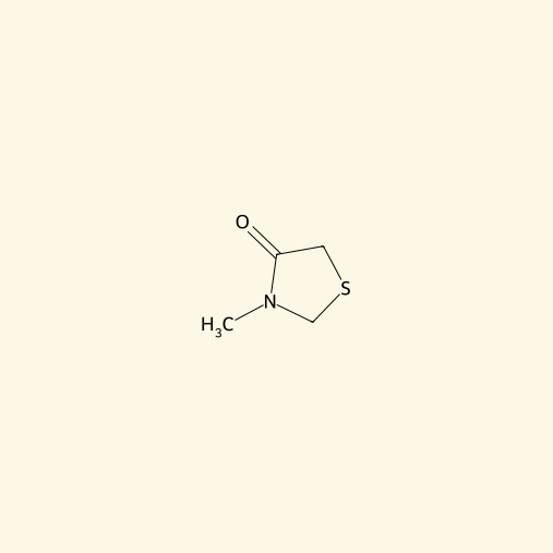 CN1CSCC1=O